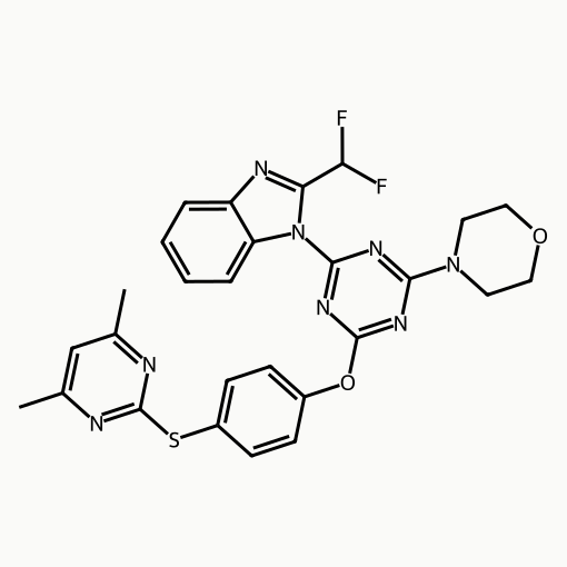 Cc1cc(C)nc(Sc2ccc(Oc3nc(N4CCOCC4)nc(-n4c(C(F)F)nc5ccccc54)n3)cc2)n1